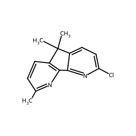 Cc1ccc2c(n1)-c1nc(Cl)ccc1C2(C)C